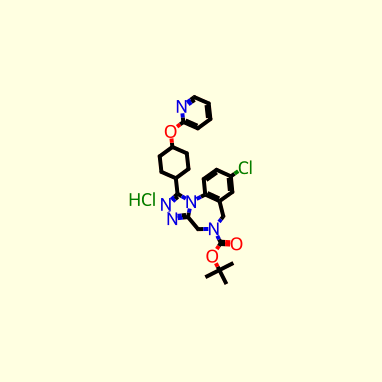 CC(C)(C)OC(=O)N1Cc2cc(Cl)ccc2-n2c(nnc2C2CCC(Oc3ccccn3)CC2)C1.Cl